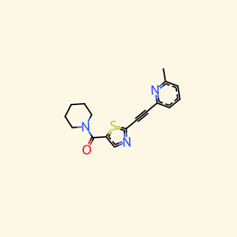 Cc1cccc(C#Cc2ncc(C(=O)N3CCCCC3)s2)n1